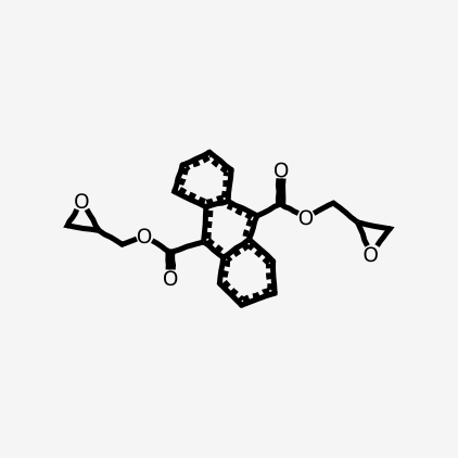 O=C(OCC1CO1)c1c2ccccc2c(C(=O)OCC2CO2)c2ccccc12